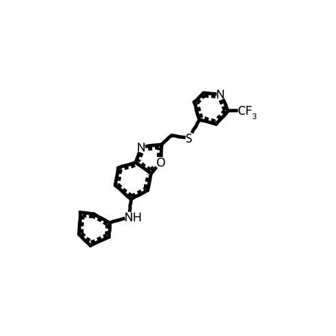 FC(F)(F)c1cc(SCc2nc3ccc(Nc4ccccc4)cc3o2)ccn1